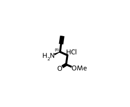 C#C[C@H](N)CC(=O)OC.Cl